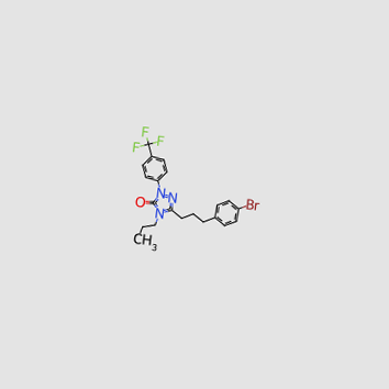 CCCn1c(CCCc2ccc(Br)cc2)nn(-c2ccc(C(F)(F)F)cc2)c1=O